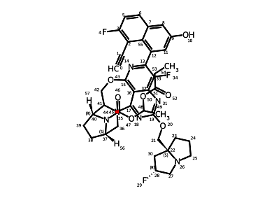 C#Cc1c(F)ccc2cc(O)cc(-c3nc4c5c(nc(OC[C@@]67CCCN6C[C@H](F)C7)nc5c3F)N3C[C@@H]5CC[C@H](C3CO4)N5C(=O)OC(C)OC(=O)CC)c12